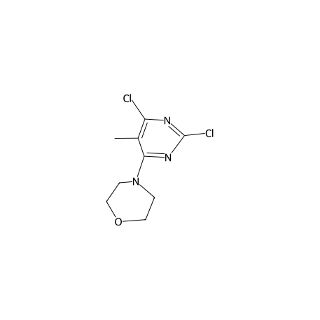 Cc1c(Cl)nc(Cl)nc1N1CCOCC1